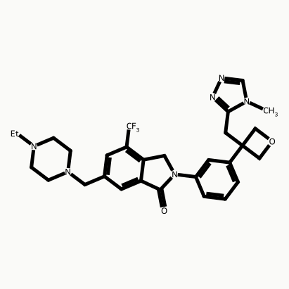 CCN1CCN(Cc2cc3c(c(C(F)(F)F)c2)CN(c2cccc(C4(Cc5nncn5C)COC4)c2)C3=O)CC1